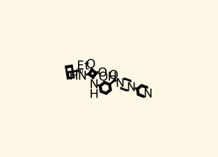 CC[C@@H](Nc1c(Nc2cccc(C(=O)N3CCN(c4ccncc4)CC3)c2O)c(=O)c1=O)C12C=CC1=CC2